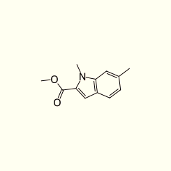 COC(=O)c1cc2ccc(C)cc2n1C